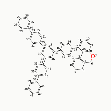 C1=CC2=C(CC1)COc1cccc(-c3ccc(-c4cc(-c5ccc(-c6ccccc6)cc5)cc(-c5ccc(-c6ccccc6)cc5)c4)cc3)c12